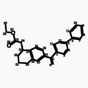 C=C(c1ccc(-c2ccccc2)cc1)c1ccc2c(c1)CCCC2CC(=O)OCC